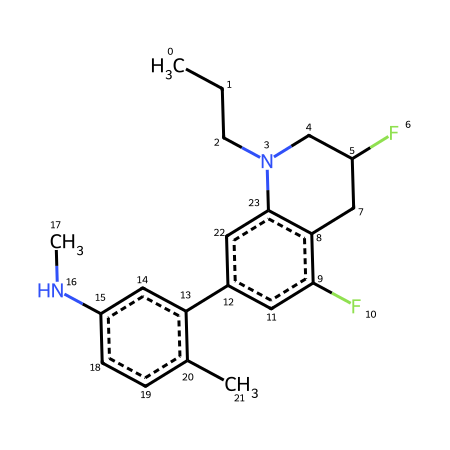 CCCN1CC(F)Cc2c(F)cc(-c3cc(NC)ccc3C)cc21